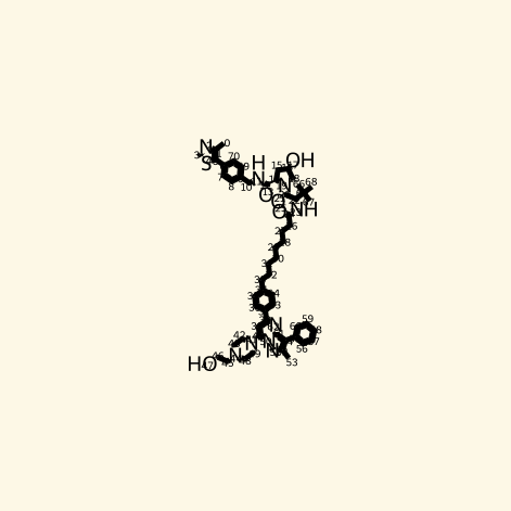 Cc1ncsc1-c1ccc(CNC(=O)[C@H]2C[C@H](O)CN2C(=O)[C@H](NC(=O)CCCCCCCCc2ccc(-c3cc(N4CCN(CCO)CC4)n4nc(C)c(-c5ccccc5)c4n3)cc2)C(C)(C)C)cc1